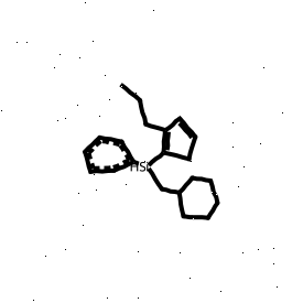 CCCC1=C([SiH](CC2CCCCC2)c2ccccc2)CC=C1